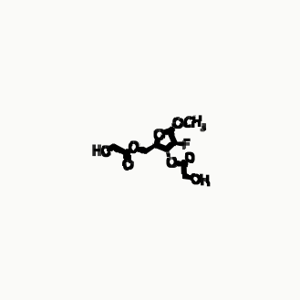 COC1O[C@H](COC(=O)CO)[C@@H](OC(=O)CO)[C@@H]1F